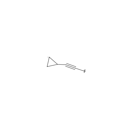 FC#CC1[CH]C1